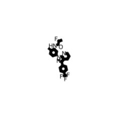 C=C(F)C(=O)Nc1cc(-n2nc(-c3ccc(C(F)(F)F)cc3)c3cccnc32)ccc1C